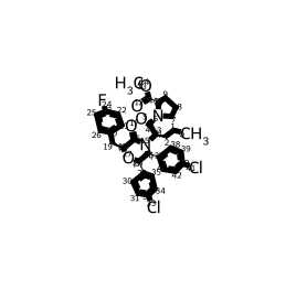 CCC[C@H](C(=O)N1CCC[C@H]1C(=O)OC)N1C(=O)[C@H](Cc2ccc(F)cc2)O[C@@H](c2ccc(Cl)cc2)[C@H]1c1ccc(Cl)cc1